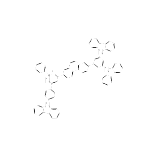 c1ccc(-c2nc(-c3ccc(-n4c5ccccc5c5ccccc54)cc3)cc(-c3ccc4c(ccc5cc(-c6cc(-n7c8ccccc8c8ccccc87)cc(-n7c8ccccc8c8ccccc87)c6)ccc54)c3)n2)cc1